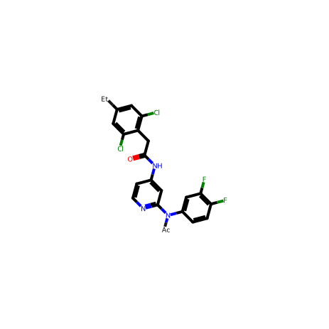 CCc1cc(Cl)c(CC(=O)Nc2ccnc(N(C(C)=O)c3ccc(F)c(F)c3)c2)c(Cl)c1